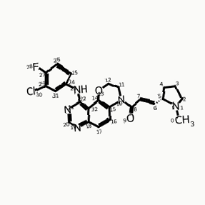 CN1CCC[C@H]1/C=C/C(=O)N1CCOc2c1ccc1ncnc(Nc3ccc(F)c(Cl)c3)c21